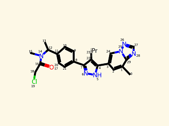 Cc1cc(-c2[nH]nc(-c3ccc(C(C)N(C)C(=O)CCl)cc3)c2C(C)C)cn2ncnc12